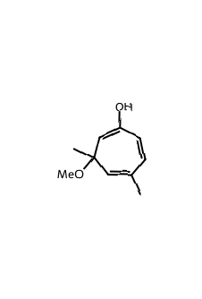 COC1(C)C=C(C)C=CC(O)=C1